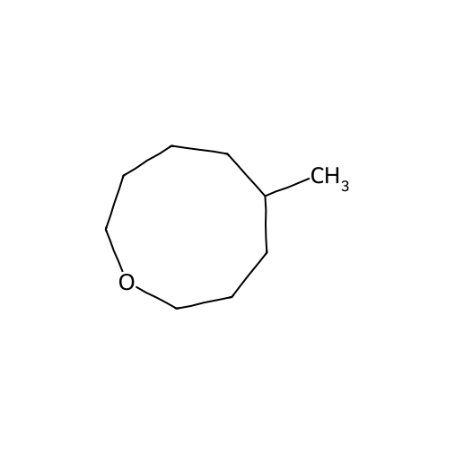 CC1CCCCOCCC1